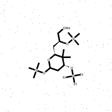 CC[Si](CC)(CC)O[C@@H]1CC(O[Si](C)(C)C)O[C@H](C[C@@H](COC)O[Si](C)(C)C)C1(C)C